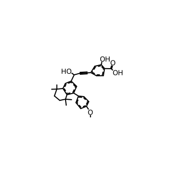 COc1ccc(-c2cc(C(O)C#Cc3ccc(C(=O)O)c(O)c3)cc3c2C(C)(C)CCC3(C)C)cc1